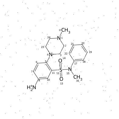 CN1CCN(c2ccc(N)cc2S(=O)(=O)N(C)c2ccccc2)CC1